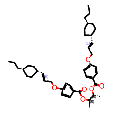 CCC[C@H]1CC[C@H](/C=C/COc2ccc(C(=O)O[C@H](C)[C@@H](C)OC(=O)c3ccc(OC/C=C/[C@H]4CC[C@H](CCC)CC4)cc3)cc2)CC1